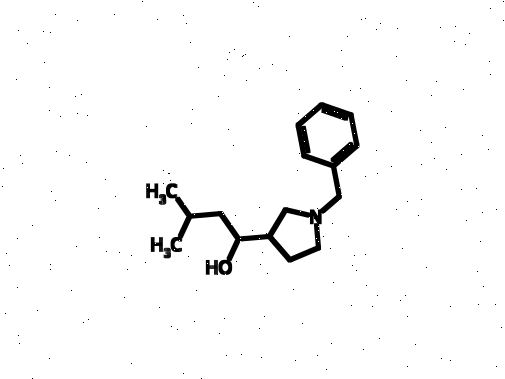 CC(C)CC(O)C1CCN(Cc2ccccc2)C1